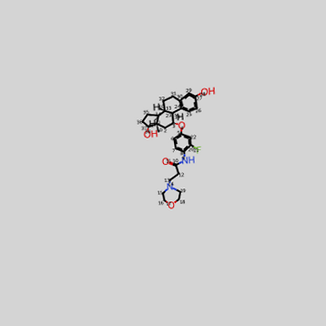 C[C@]12C[C@H](Oc3ccc(NC(=O)CCN4CCOCC4)c(F)c3)[C@@H]3c4ccc(O)cc4CC[C@H]3[C@@H]1CC[C@@H]2O